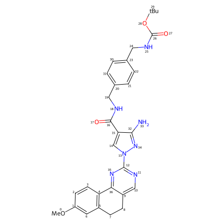 COc1ccc2c(c1)CCc1cnc(-n3cc(C(=O)NCc4ccc(CNC(=O)OC(C)(C)C)cc4)c(N)n3)nc1-2